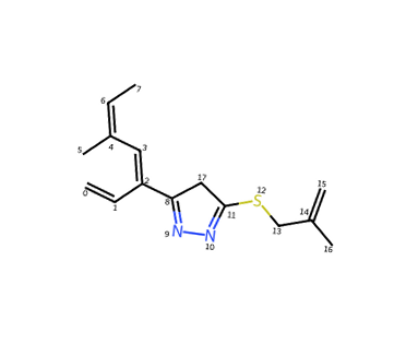 C=C/C(=C\C(C)=C/C)C1=NN=C(SCC(=C)C)C1